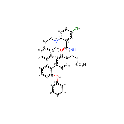 O=C(O)CC(NC(=O)c1cc(Cl)ccc1N1CCc2ccccc2C1)c1ccc(-c2ccccc2Oc2ccccc2)cc1